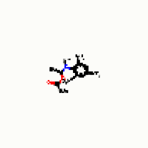 CCCN(c1c([N+](=O)[O-])cc(C(F)(F)F)cc1[N+](=O)[O-])C(CC)OC(=O)NC